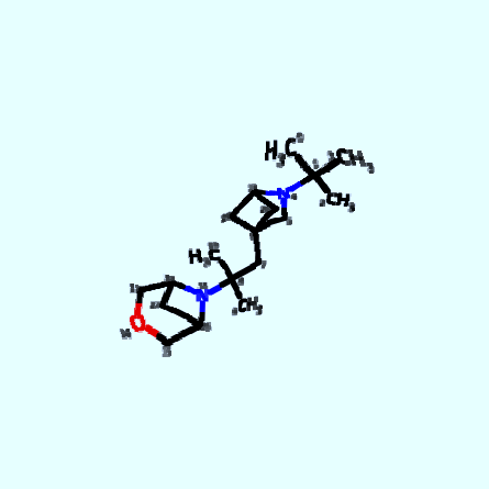 CC(C)(C)N1CC2(CC(C)(C)N3C4COCC3C4)CC1C2